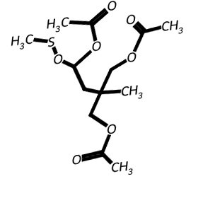 CSOC(CC(C)(COC(C)=O)COC(C)=O)OC(C)=O